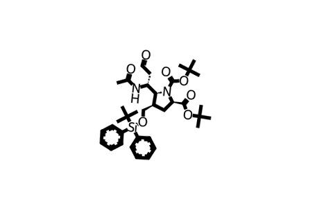 CC(=O)N[C@H](CC=O)[C@H]1[C@H](CO[Si](c2ccccc2)(c2ccccc2)C(C)(C)C)C[C@H](C(=O)OC(C)(C)C)N1C(=O)OC(C)(C)C